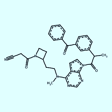 CC(C(=O)n1ccc2c(N(C)CCC3CCN3C(=O)CC#N)ncnc21)c1cccc(C(=O)c2ccccc2)c1